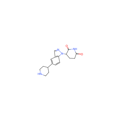 O=C1CCC(n2ncc3cc(C4CCNCC4)ccc32)C(=O)N1